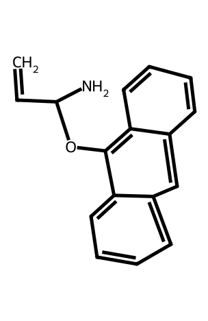 C=CC(N)Oc1c2ccccc2cc2ccccc12